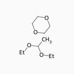 C1COCCO1.CCOC(C)OCC